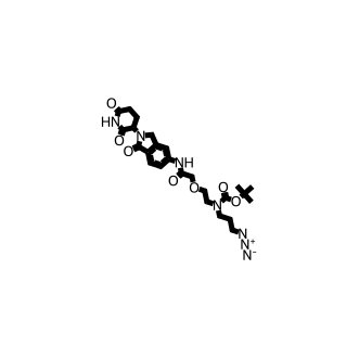 CC(C)(C)OC(=O)N(CCCN=[N+]=[N-])CCOCC(=O)Nc1ccc2c(c1)CN(C1CCC(=O)NC1=O)C2=O